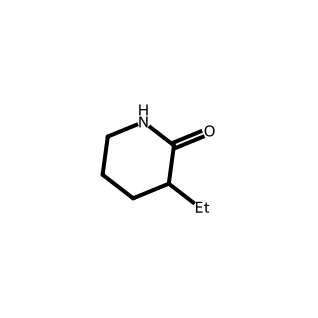 [CH2]CC1CCCNC1=O